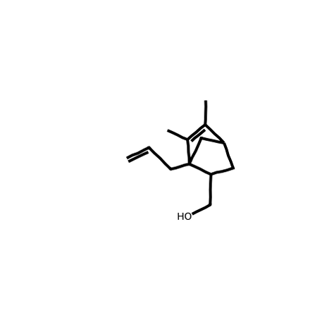 C=CCC12CC(CC1CO)C(C)=C2C